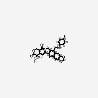 CC[C@@]1(O)C(=O)OCc2c1cc1n(c2=O)Cc2c-1nc1cc3c(cc1c2CNc1ccc(F)cc1)OCO3